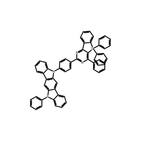 c1ccc(-c2nc(-c3ccc(-n4c5ccccc5c5cc6c(cc54)c4ccccc4n6-c4ccccc4)cc3)nc3c2[Si](c2ccccc2)(c2ccccc2)c2ccccc2-3)cc1